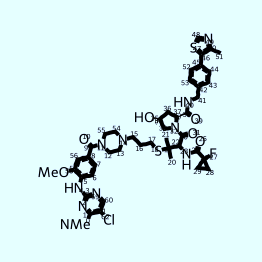 CNc1nc(Nc2ccc(C(=O)N3CCN(CCCSC(C)(C)C(NC(=O)C4(F)CC4)C(=O)N4C[C@H](O)C[C@H]4C(=O)NCc4ccc(-c5scnc5C)cc4)CC3)cc2OC)ncc1Cl